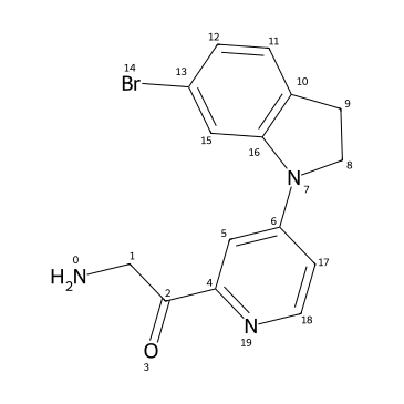 NCC(=O)c1cc(N2CCc3ccc(Br)cc32)ccn1